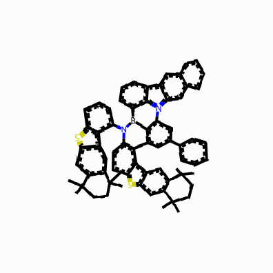 CC1(C)CCC(C)(C)c2cc3c(cc21)sc1cccc(N2B4c5c(cc(-c6ccccc6)cc5-n5c6cc7ccccc7cc6c6cccc4c65)-c4c2ccc2sc5cc6c(cc5c42)C(C)(C)CCC6(C)C)c13